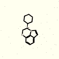 c1cc2c3c(c1)ccn3[C@H](C1CCCCC1)CO2